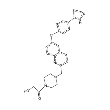 O=C(CO)N1CCN(Cc2ccc3cc(Oc4ccc(-c5ccn[nH]5)cn4)ccc3n2)CC1